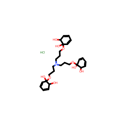 Cl.OC1C=CC=CC1(O)OCCCN(CCCOC1(O)C=CC=CC1O)CCCOC1(O)C=CC=CC1O